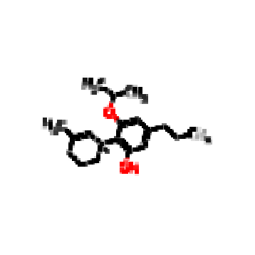 CCCc1cc(O)c([C@@H]2C=C(C)CCC2)c(OC(C)C)c1